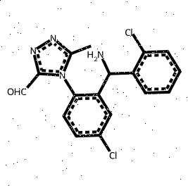 Cc1nnc(C=O)n1-c1ccc(Cl)cc1C(N)c1ccccc1Cl